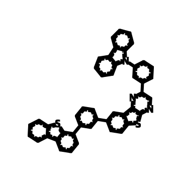 c1cc(-c2ccc3sc4ncc(-c5cccc(-n6c7ccccc7c7ccccc76)c5)nc4c3c2)cc(-c2cccc3c2sc2ccccc23)c1